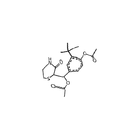 CC(=O)Oc1ccc(C(OC(C)=O)C2SCCNC2=O)cc1C(C)(C)C